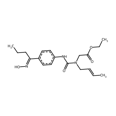 CC=CCN(CC(=O)OCC)C(=O)Nc1ccc(C(CCC)=NO)cc1